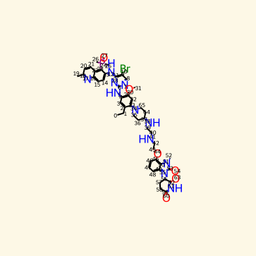 CCc1cc(Nc2ncc(Br)c(Nc3ccc4nc(C)ccc4c3P(C)(C)=O)n2)c(OC)cc1N1CCC(NCCNCCOc2cccc3c2n(C)c(=O)n3C2CCC(=O)NC2=O)CC1